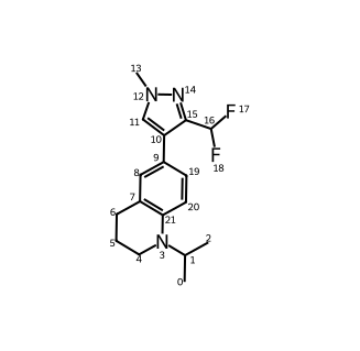 CC(C)N1CCCc2cc(-c3cn(C)nc3C(F)F)ccc21